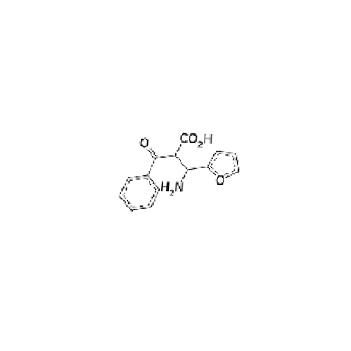 NC(c1ccco1)C(C(=O)O)C(=O)c1ccccc1